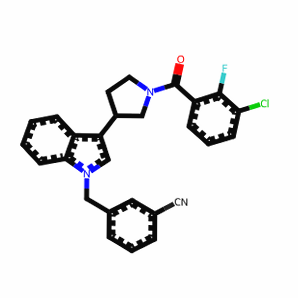 N#Cc1cccc(Cn2cc(C3CCN(C(=O)c4cccc(Cl)c4F)C3)c3ccccc32)c1